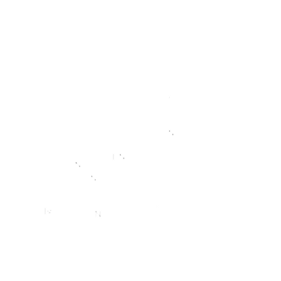 O=C(Cc1ccc2ccccc2c1)NCCNc1cc(-c2ccccc2Cl)nc2c(Br)cnn12